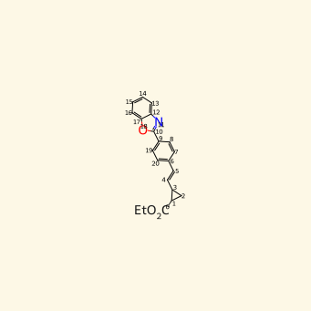 CCOC(=O)C1CC1C=Cc1ccc(-c2nc3ccccc3o2)cc1